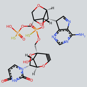 Nc1ncnc2c1N=CC2[C@@H]1O[C@@]2(COP(=O)(O)S)CO[C@@H]1[C@@H]2OP(=O)(S)OC[C@@]12C#CO[C@@H]([C@H](n3ccc(=O)[nH]c3=O)O1)[C@@H]2O